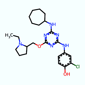 CCN1CCCC1COc1nc(Nc2ccc(O)c(Cl)c2)nc(NC2CCCCCC2)n1